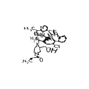 C=CC(=O)N1CCN(/C(=N/C)c2cc(Cl)c(-c3ccccc3F)nc2N(C=O)c2c(C)ccnc2C(C)C)C(CO)C1